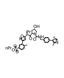 CCCOS(=O)(=O)c1ccc(C)c(-c2cc(C(C(=O)C3C[C@H](O)CN3C(=O)NCc3ccc(-c4scnc4C)cc3)C(C)C)on2)c1